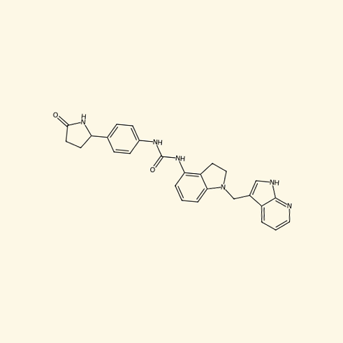 O=C1CCC(c2ccc(NC(=O)Nc3cccc4c3CCN4Cc3c[nH]c4ncccc34)cc2)N1